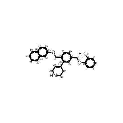 FC(F)(F)c1ccccc1OCc1ccc(COc2ccc3ccccc3c2)c(C2=CCNCC2)c1